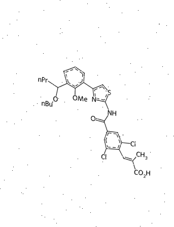 CCCCOC(CCC)c1cccc(-c2csc(NC(=O)c3cc(Cl)c(/C=C(\C)C(=O)O)c(Cl)c3)n2)c1OC